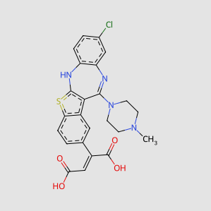 CN1CCN(C2=Nc3cc(Cl)ccc3Nc3sc4ccc(/C(=C\C(=O)O)C(=O)O)cc4c32)CC1